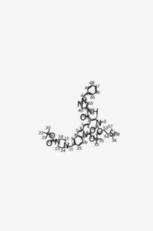 CN(/C=C(\C=C\c1cc2cc(CN3CCN(C(=O)OC(C)(C)C)CC3)ccc2n1C(=O)OC(C)(C)C)C(=O)Nc1cnn(Cc2ccccc2)c1)COCC[Si](C)(C)C